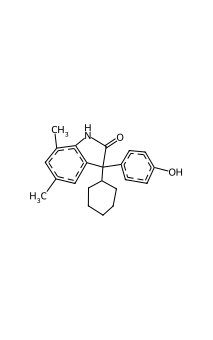 Cc1cc(C)c2c(c1)C(c1ccc(O)cc1)(C1CCCCC1)C(=O)N2